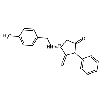 Cc1ccc(CN[C@@H]2CC(=O)N(c3ccccc3)C2=O)cc1